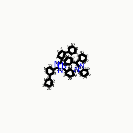 c1ccc(-c2cccc(-c3nc(-c4cccc(-c5ccccc5)c4)nc(-c4cccc(-n5c6ccccc6n6c7ccccc7c(-c7ccccc7)c56)c4)n3)c2)cc1